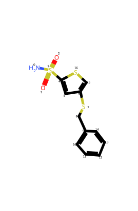 NS(=O)(=O)c1cc(SCc2ccccc2)cs1